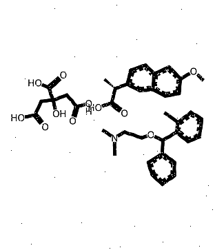 COc1ccc2cc([C@H](C)C(=O)O)ccc2c1.Cc1ccccc1C(OCCN(C)C)c1ccccc1.O=C(O)CC(O)(CC(=O)O)C(=O)O